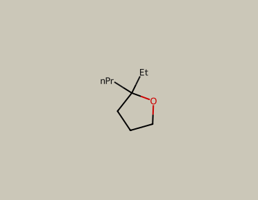 CCCC1(CC)CCCO1